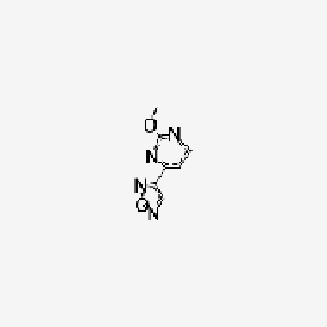 COc1nccc(-c2cnon2)n1